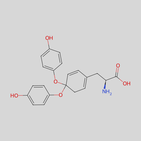 N[C@@H](CC1=CCC(Oc2ccc(O)cc2)(Oc2ccc(O)cc2)C=C1)C(=O)O